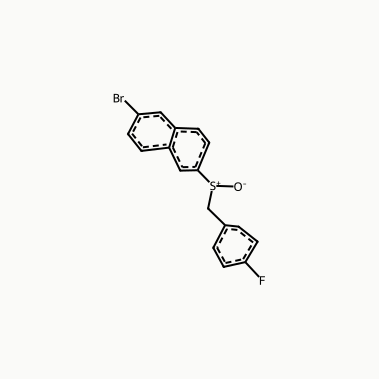 [O-][S+](Cc1ccc(F)cc1)c1ccc2cc(Br)ccc2c1